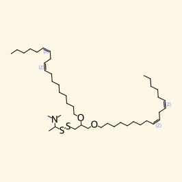 CCCCC/C=C\C/C=C\CCCCCCCCOCC(CSSC(C)N(C)C)OCCCCCCCC/C=C\C/C=C\CCCCC